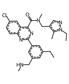 CCc1cc(CNC)cc(-c2nc(C(=O)N(C)Cc3cnn(CC)c3C)c3cc(Cl)ccc3n2)c1